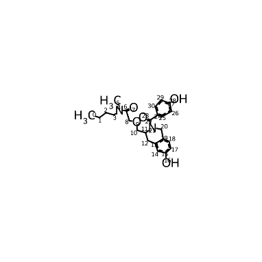 CCCCN(C)C(=O)COCC1Cc2cc(O)ccc2CN1C(=O)c1ccc(O)cc1